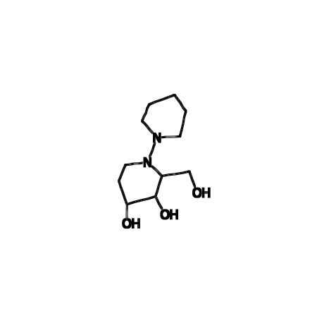 OCC1C(O)C(O)CCN1N1CCCCC1